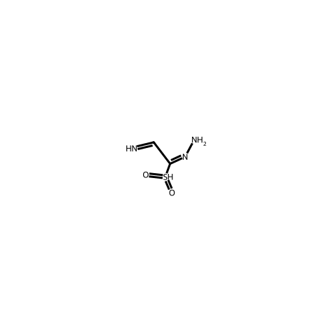 N=C/C(=N\N)[SH](=O)=O